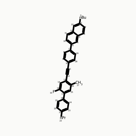 CCCCc1ccc2cc(-c3ccc(C#Cc4cc(F)c(-c5ccc(CCC)cc5)cc4C)cc3)ccc2c1